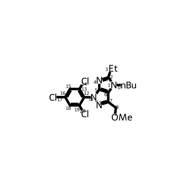 CCCCn1c(CC)nc2c1c(COC)nn2-c1c(Cl)cc(Cl)cc1Cl